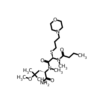 CCCC(=O)N(C)[C@H](SCCCN1CCOCC1)C(=O)N(C)[C@@H](CC(C)(C)OC)C(N)=O